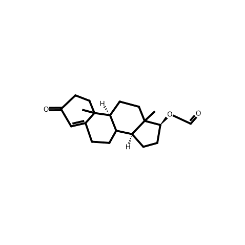 CC12CCC(=O)C=C1CCC1[C@@H]2CCC2(C)[C@@H](OC=O)CC[C@@H]12